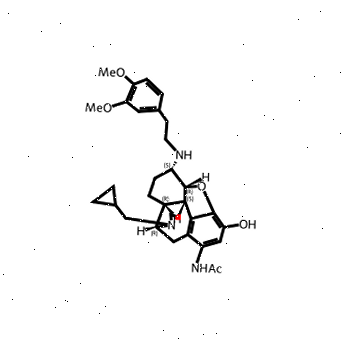 COc1ccc(CCN[C@H]2CC[C@H]3[C@H]4Cc5c(NC(C)=O)cc(O)c6c5[C@@]3(CCN4CC3CC3)[C@H]2O6)cc1OC